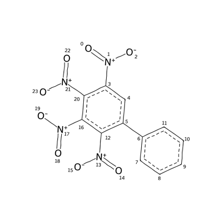 O=[N+]([O-])c1cc(-c2ccccc2)c([N+](=O)[O-])c([N+](=O)[O-])c1[N+](=O)[O-]